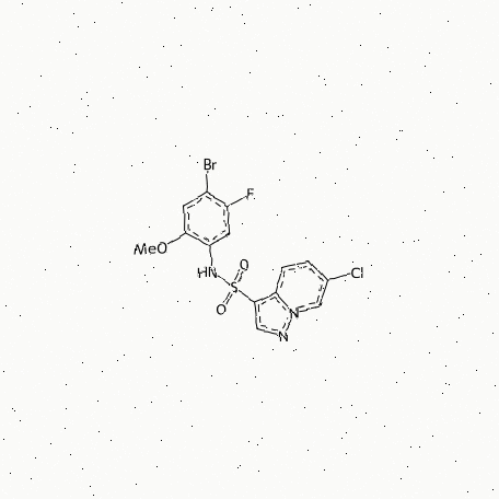 COc1cc(Br)c(F)cc1NS(=O)(=O)c1cnn2cc(Cl)ccc12